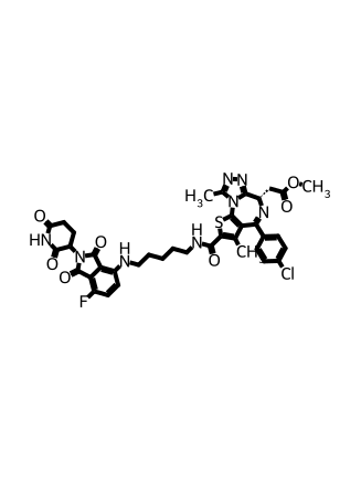 COC(=O)C[C@@H]1N=C(c2ccc(Cl)cc2)c2c(sc(C(=O)NCCCCCNc3ccc(F)c4c3C(=O)N(C3CCC(=O)NC3=O)C4=O)c2C)-n2c(C)nnc21